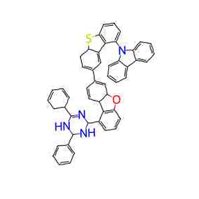 C1=CCC(C2=NC(c3cccc4c3C3C=CC(C5=CCC6Sc7cccc(-n8c9ccccc9c9ccccc98)c7C6=C5)=CC3O4)NC(c3ccccc3)N2)C=C1